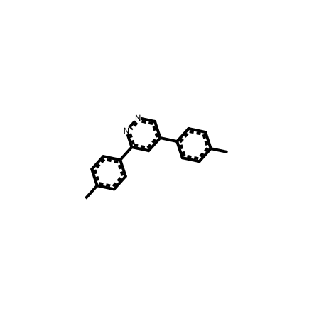 Cc1ccc(-c2cnnc(-c3ccc(C)cc3)c2)cc1